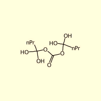 CCCC(O)(O)OC(=O)OC(O)(O)CCC